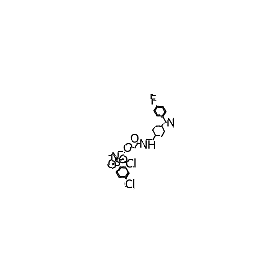 CN(C)C(c1ccc(F)cc1)C1CCC(CCNC(=O)COCCN(C)S(=O)(=O)c2ccc(Cl)cc2Cl)CC1